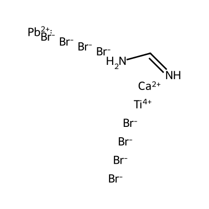 N=CN.[Br-].[Br-].[Br-].[Br-].[Br-].[Br-].[Br-].[Br-].[Ca+2].[Pb+2].[Ti+4]